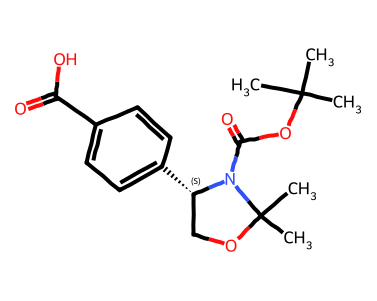 CC(C)(C)OC(=O)N1[C@@H](c2ccc(C(=O)O)cc2)COC1(C)C